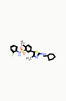 Cc1ccc(-c2sc(NCC3CCCCC3)nc2C)cc1S(=O)(=O)Nc1ccccc1F